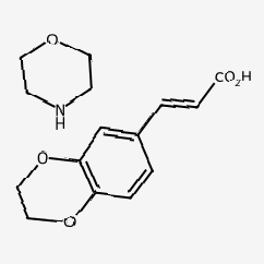 C1COCCN1.O=C(O)C=Cc1ccc2c(c1)OCCO2